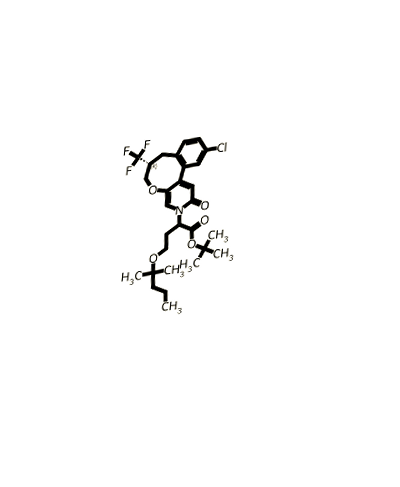 CCCC(C)(C)OCCC(C(=O)OC(C)(C)C)n1cc2c(cc1=O)-c1cc(Cl)ccc1C[C@@H](C(F)(F)F)CO2